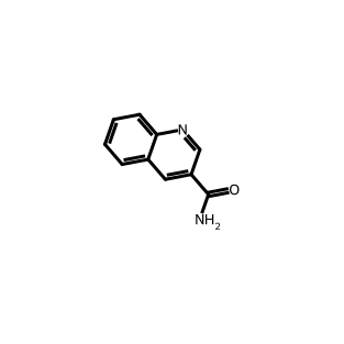 NC(=O)c1cnc2ccccc2c1